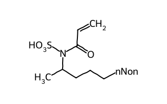 C=CC(=O)N(C(C)CCCCCCCCCCCC)S(=O)(=O)O